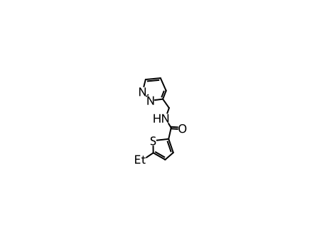 CCc1ccc(C(=O)NCc2cccnn2)s1